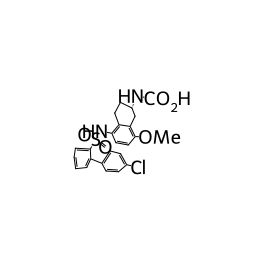 COc1ccc(NS(=O)(=O)c2ccccc2-c2ccc(Cl)cc2)c2c1C[C@@H](NC(=O)O)CC2